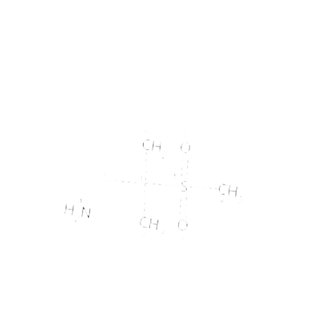 [CH2]C(C)(CN)S(C)(=O)=O